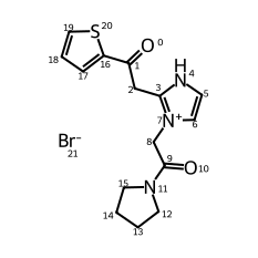 O=C(Cc1[nH]cc[n+]1CC(=O)N1CCCC1)c1cccs1.[Br-]